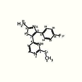 CSc1nccc(-c2sc(N)nc2-c2ccc(F)cc2)n1